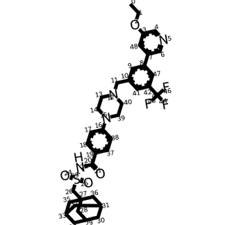 CCOc1cncc(-c2cc(CN3CCN(c4ccc(C(=O)NS(=O)(=O)CC56CC7CC(CC(C7)C5)C6)cc4)CC3)cc(C(F)(F)F)c2)c1